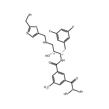 CCCN(CCC)C(=O)c1cc(C)cc(C(=O)N[C@@H](Cc2cc(F)cc(F)c2)[C@H](O)CNCc2cnc(CC(C)C)s2)c1